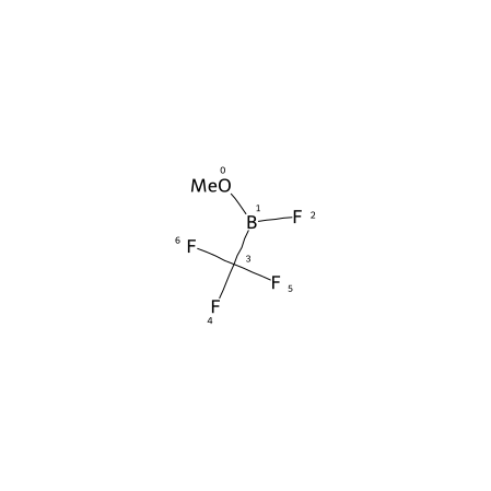 COB(F)C(F)(F)F